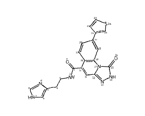 O=C(NCCc1c[nH]cn1)c1cc2n[nH]c(=O)n2c2cc(-c3ccsc3)ccc12